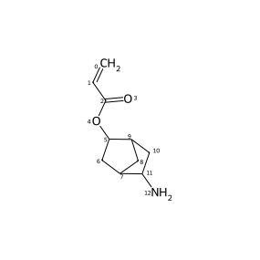 C=CC(=O)OC1CC2CC1CC2N